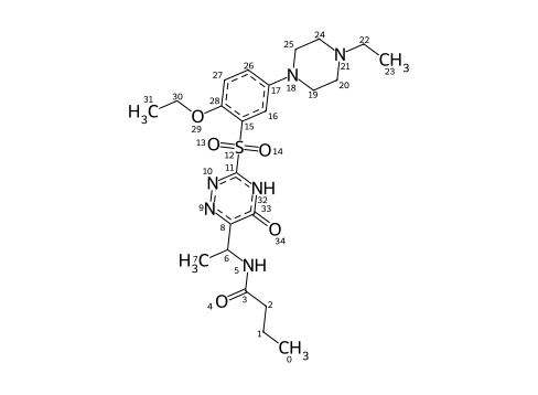 CCCC(=O)NC(C)c1nnc(S(=O)(=O)c2cc(N3CCN(CC)CC3)ccc2OCC)[nH]c1=O